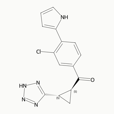 O=C(c1ccc(-c2ccc[nH]2)c(Cl)c1)[C@H]1C[C@@H]1c1nn[nH]n1